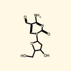 Nc1nc(=O)n(C2CC(O)C(CO)O2)cc1C=O